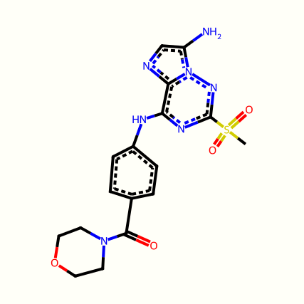 CS(=O)(=O)c1nc(Nc2ccc(C(=O)N3CCOCC3)cc2)c2ncc(N)n2n1